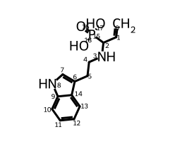 C=CC(NCCc1c[nH]c2ccccc12)P(=O)(O)O